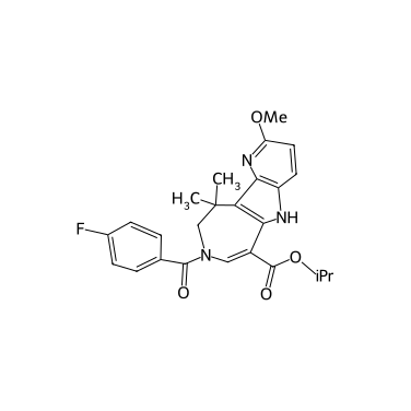 COc1ccc2[nH]c3c(c2n1)C(C)(C)CN(C(=O)c1ccc(F)cc1)C=C3C(=O)OC(C)C